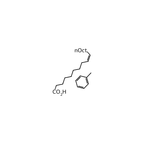 CCCCCCCC/C=C\CCCCCCCC(=O)O.Cc1ccccc1